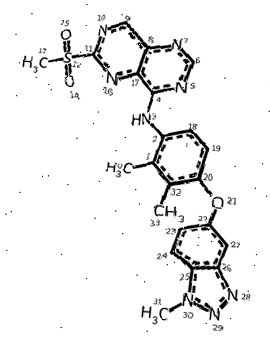 Cc1c(Nc2ncnc3cnc(S(C)(=O)=O)nc23)ccc(Oc2ccc3c(c2)nnn3C)c1C